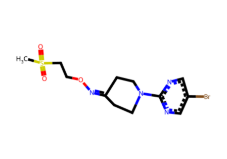 CS(=O)(=O)CCON=C1CCN(c2ncc(Br)cn2)CC1